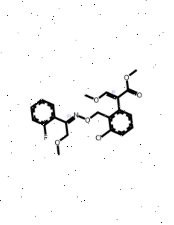 CO/C=C(/C(=O)OC)c1cccc(Cl)c1CO/N=C(\COC)c1ccccc1F